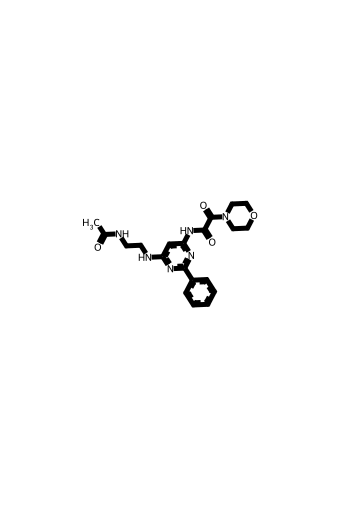 CC(=O)NCCNc1cc(NC(=O)C(=O)N2CCOCC2)nc(-c2ccccc2)n1